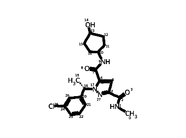 CNC(=O)c1cc(C(=O)NC2CCC(O)CC2)n([C@@H](C)c2cccc(Cl)c2)n1